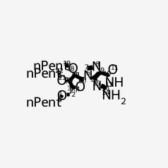 CCCCCOC[C@H]1O[C@@H](n2cnc3c(=O)[nH]c(N)nc32)[C@H](OCCCCC)[C@@H]1OCCCCC